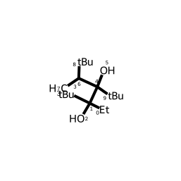 CCC(O)(C(C)(C)C)C(O)(C(C)C(C)(C)C)C(C)(C)C